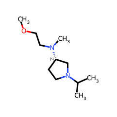 COCCN(C)[C@H]1CCN(C(C)C)C1